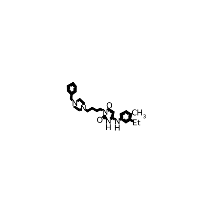 CCc1cc(Nc2cc(=O)n(CCCCN3CCN(Cc4ccccc4)CC3)c(=O)[nH]2)ccc1C